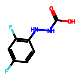 O=C(O)NNc1ccc(F)cc1F